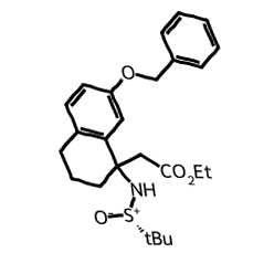 CCOC(=O)CC1(N[S@@+]([O-])C(C)(C)C)CCCc2ccc(OCc3ccccc3)cc21